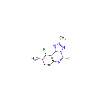 Cc1nc2c3c(F)c(C)ccc3nc(Cl)n2n1